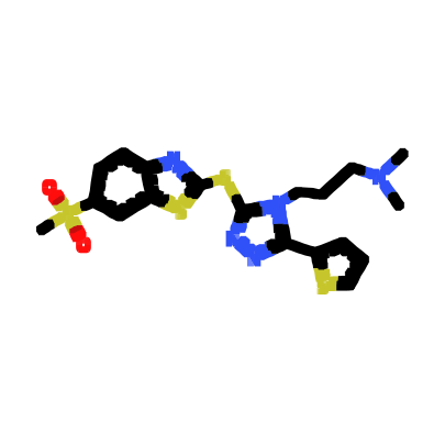 CN(C)CCCn1c(Sc2nc3ccc(S(C)(=O)=O)cc3s2)nnc1-c1cccs1